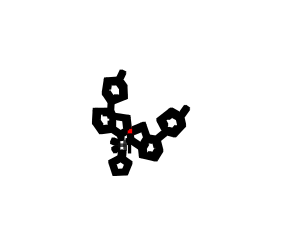 Cc1ccc(-c2cccc3c2C=C[CH]3[Hf]([CH3])([CH3])(=[C]2CCCC2)[CH]2C=Cc3c(-c4ccc(C)cc4)cccc32)cc1